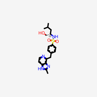 Cc1nc2c(Cc3ccc(S(=O)(=O)N[C@H](CO)CC(C)C)cc3)nccc2[nH]1